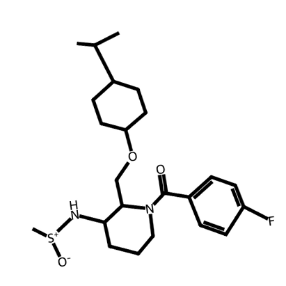 CC(C)C1CCC(OCC2C(N[S+](C)[O-])CCCN2C(=O)c2ccc(F)cc2)CC1